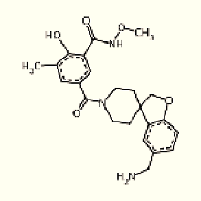 CONC(=O)c1cc(C(=O)N2CCC3(CC2)COc2ccc(CN)cc23)cc(C)c1O